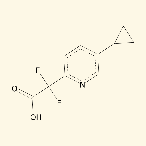 O=C(O)C(F)(F)c1ccc(C2CC2)cn1